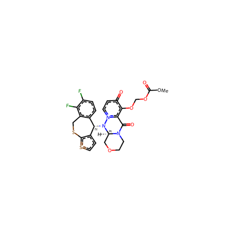 COC(=O)OCOc1c2n(ccc1=O)N([C@@H]1c3ccsc3SCc3c1ccc(F)c3F)[C@@H]1COCCN1C2=O